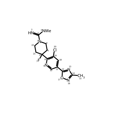 CNC(=N)N1CCC(F)(c2ncc(-c3nc(C)no3)cc2Cl)CC1